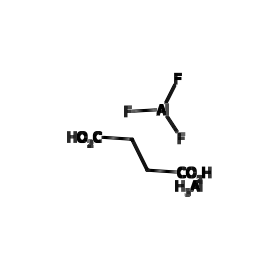 O=C(O)CCC(=O)O.[AlH3].[F][Al]([F])[F]